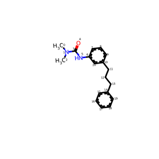 CN(C)C(=O)Nc1cccc(CCCc2ccccc2)c1